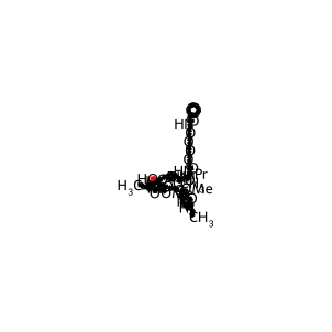 C/C=C/C1=CN2C(=O)c3cc(OC)c(OCCCOc4cc5c(cc4OC)C(=O)N4C=C(/C=C/C)C[C@H]4[C@H](O)N5COCc4ccc(NC(=O)[C@H](C)NC(=O)[C@@H](NC(=O)CCOCCOCCOCCOCCNC(=O)Cc5ccccccccc5)C(C)C)cc4)cc3N=C[C@@H]2C1